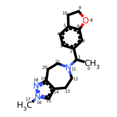 CC(c1ccc2c(c1)OCC2)N1CCc2cn(C)nc2CC1